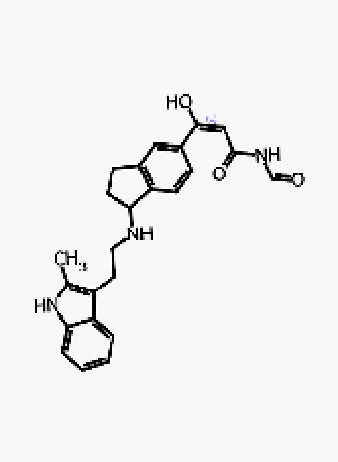 Cc1[nH]c2ccccc2c1CCNC1CCc2cc(/C(O)=C\C(=O)NC=O)ccc21